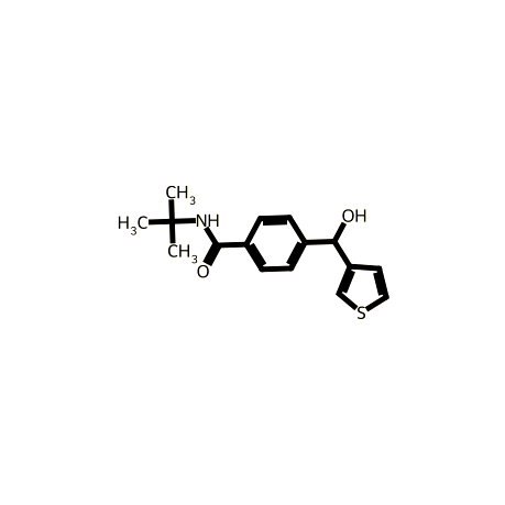 CC(C)(C)NC(=O)c1ccc(C(O)c2ccsc2)cc1